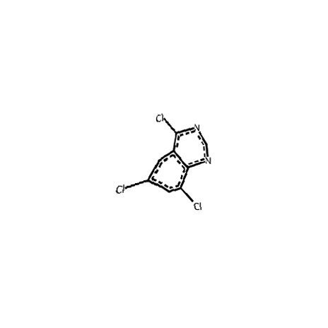 Clc1cc(Cl)c2ncnc(Cl)c2c1